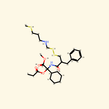 CCC(=O)OC(NC(=O)C(CSSCNCCCSC)Cc1ccccc1)(C(=O)OC)C1CCCCC1